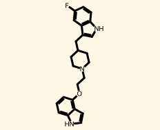 Fc1ccc2[nH]cc(CC3CCN(CCOc4cccc5[nH]ccc45)CC3)c2c1